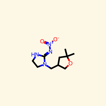 CC1(C)CC(CN2CCNC2=N[N+](=O)[O-])CO1